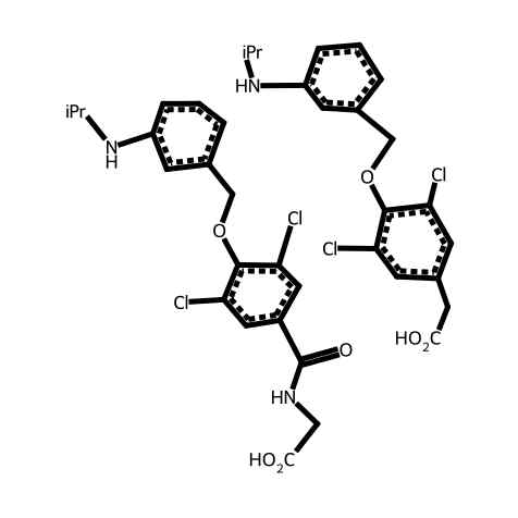 CC(C)Nc1cccc(COc2c(Cl)cc(C(=O)NCC(=O)O)cc2Cl)c1.CC(C)Nc1cccc(COc2c(Cl)cc(CC(=O)O)cc2Cl)c1